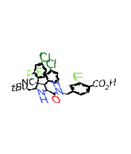 CC(C)(C)CC1NC(C(=O)NCc2ccc(C(=O)O)c(F)c2)C(c2cccc(Cl)c2F)C1(C#N)c1ccc(Cl)cc1F